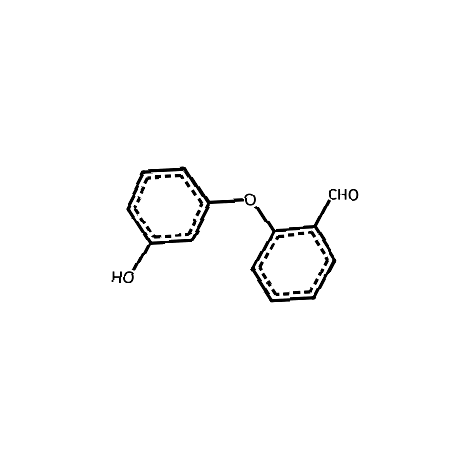 O=Cc1ccccc1Oc1cccc(O)c1